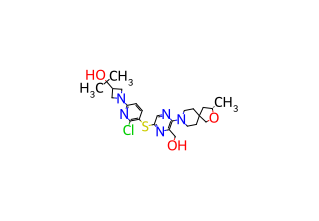 C[C@H]1CC2(CCN(c3ncc(Sc4ccc(N5CC(C(C)(C)O)C5)nc4Cl)nc3CO)CC2)CO1